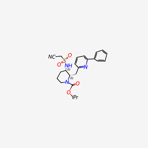 CC(C)OC(=O)N1CCC[C@H](NS(=O)(=O)CC#N)[C@@H]1Cc1cccc(-c2ccccc2)n1